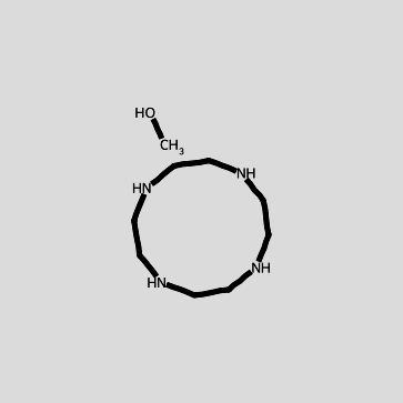 C1CNCCNCCNCCN1.CO